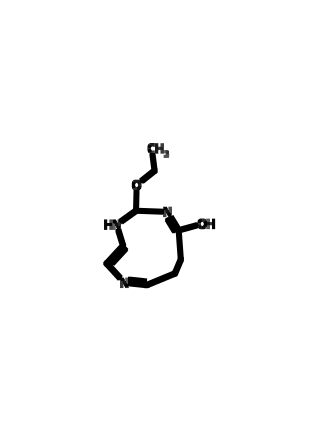 CCOC1/N=C(/O)CC/C=N\C=C\N1